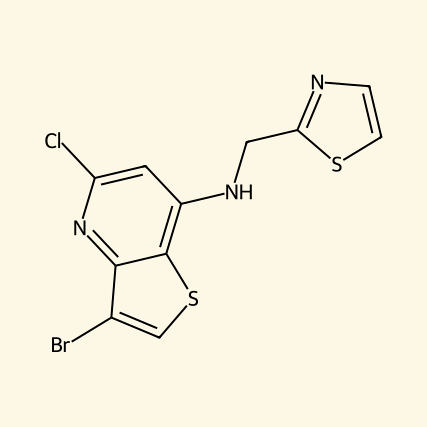 Clc1cc(NCc2nccs2)c2scc(Br)c2n1